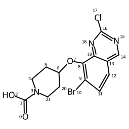 O=C(O)N1CCC(Oc2c(Br)ccc3cnc(Cl)nc23)CC1